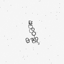 CCN1CCC2(CCc3cc(C(=O)N(C)Cc4ccco4)ccc3O2)CC1